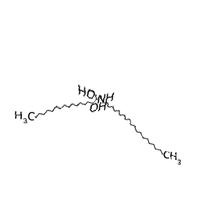 CCCCCCCCCCCCCCCCCCCCCCNC(CO)C(O)CCCCCCCCCCCCCCC